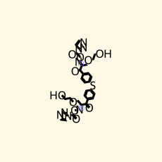 O=C(/C(COCCO)=N/OC(=O)n1ccnn1)c1ccc(Sc2ccc(C(=O)/C(COCCO)=N/OC(=O)n3ccnn3)cc2)cc1